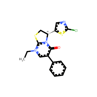 CC[n+]1cc(-c2ccccc2)c(=O)n2c1SC[C@@H]2c1cnc(Cl)s1